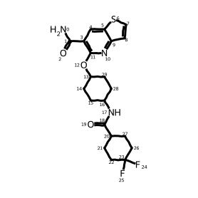 NC(=O)c1cc2sccc2nc1OC1CCC(NC(=O)C2CCC(F)(F)CC2)CC1